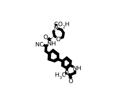 CN1C(=O)CNc2ccc(-c3ccc(CC(C#N)NC(=O)[C@@H]4CN(C(=O)O)CCCO4)cc3)cc21